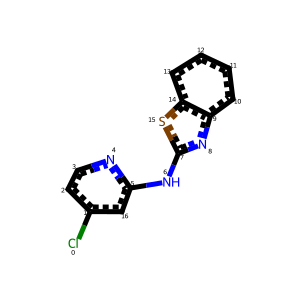 Clc1ccnc(Nc2nc3ccccc3s2)c1